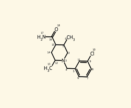 CC1CN(Cc2cccc(Cl)c2)C(C)CC1C(N)=O